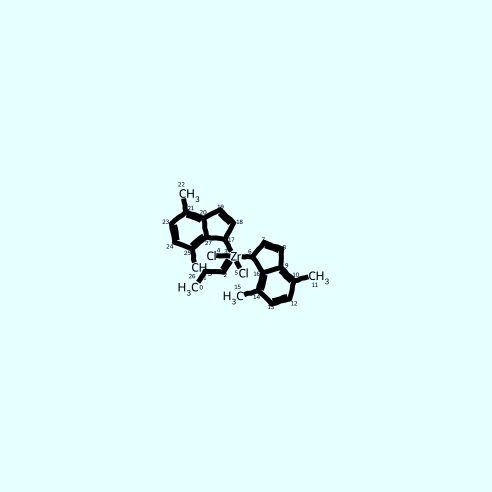 CC[CH]=[Zr]([Cl])([Cl])([CH]1C=Cc2c(C)ccc(C)c21)[CH]1C=Cc2c(C)ccc(C)c21